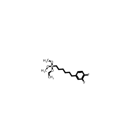 CCO[Si](CCCCCCc1ccc(F)c(F)c1)(OC)OC